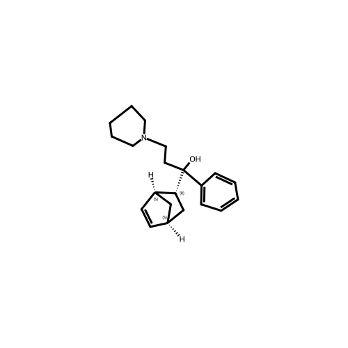 OC(CCN1CCCCC1)(c1ccccc1)[C@@H]1C[C@H]2C=C[C@@H]1C2